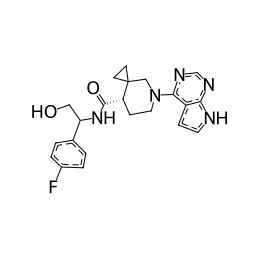 O=C(NC(CO)c1ccc(F)cc1)[C@H]1CCN(c2ncnc3[nH]ccc23)CC12CC2